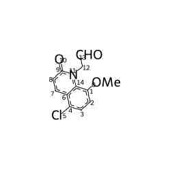 COc1ccc(Cl)c2ccc(=O)n(CC=O)c12